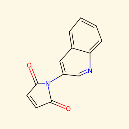 O=C1C=CC(=O)N1c1cnc2ccccc2c1